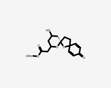 CCCCCCCCCCOC(=O)CC1CC(O)C[C@@]2(CCC3(C=CC(=O)C=C3)O2)O1